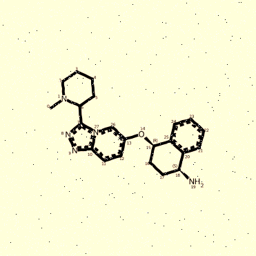 CN1CCCCC1c1nnc2ccc(O[C@@H]3CC[C@H](N)c4ccccc43)cn12